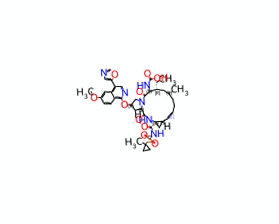 CC[C@@H]1C[C@H](C)CC/C=C\[C@@H]2C[C@@]2(C(=O)NS(=O)(=O)C2(C)CC2)NC(=O)[C@@H]2C[C@@H](Oc3ncc(-c4cnco4)c4cc(OC)ccc34)CN2C(=O)[C@H]1NC(=O)O